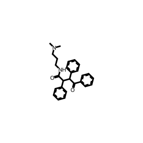 CN(C)CCCNC(=O)C(c1ccccc1)C(C(=O)c1ccccc1)c1ccccc1